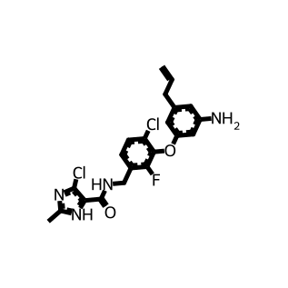 C=CCc1cc(N)cc(Oc2c(Cl)ccc(CNC(=O)c3[nH]c(C)nc3Cl)c2F)c1